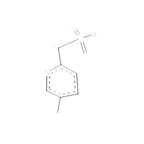 NS(=O)(=O)Cc1ccc(F)cn1